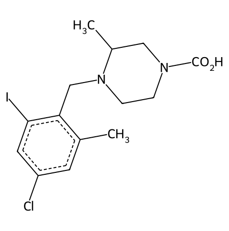 Cc1cc(Cl)cc(I)c1CN1CCN(C(=O)O)CC1C